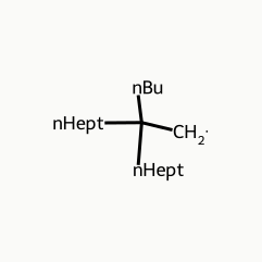 [CH2]C(CCCC)(CCCCCCC)CCCCCCC